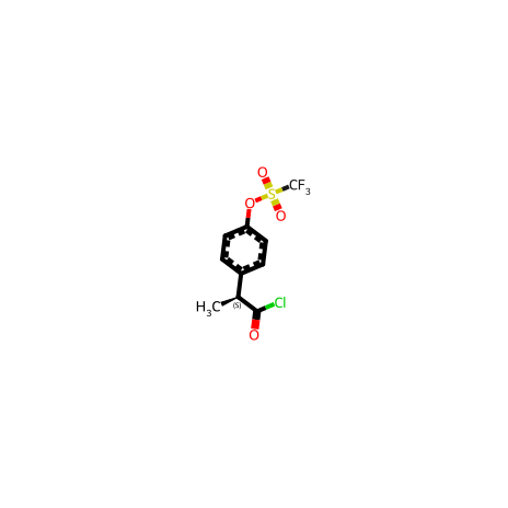 C[C@H](C(=O)Cl)c1ccc(OS(=O)(=O)C(F)(F)F)cc1